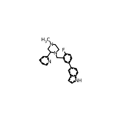 CN1CCN(Cc2cc(-c3ccc4[nH]ccc4c3)ccc2F)C(c2ccccn2)C1